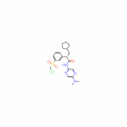 CN(C)c1cnc(NC(=O)[C@H](CC2CCCC2)c2cccc(S(=O)(=O)CCl)c2)cn1